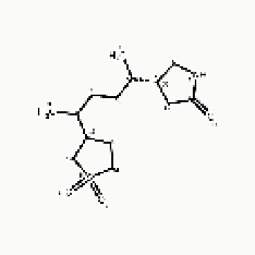 CC(CCC(C)[C@@H]1CNC(=O)C1)C1CCS(=O)(=O)C1